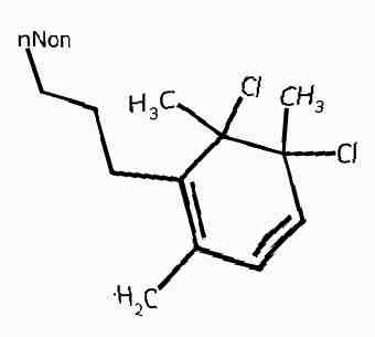 [CH2]C1=C(CCCCCCCCCCCC)C(C)(Cl)C(C)(Cl)C=C1